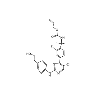 C=CCOC(=O)NC(C)(C)c1ccc(-c2nc(Nc3ccc(CCO)cc3)ncc2Cl)cc1F